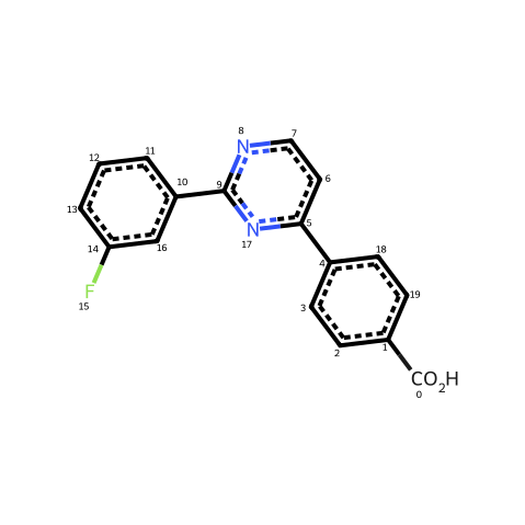 O=C(O)c1ccc(-c2ccnc(-c3cccc(F)c3)n2)cc1